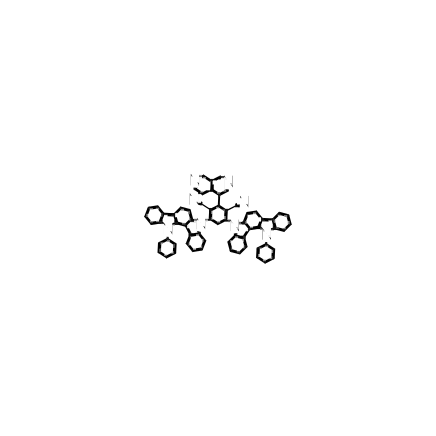 N#Cc1c(-n2c3ccccc3c3c2ccc2c4ccccc4n(-c4ccccc4)c23)cc(-n2c3ccccc3c3c2ccc2c4ccccc4n(-c4ccccc4)c23)c(C#N)c1-c1cncc2cnccc12